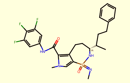 CN=S1(=O)N[C@@H](C(C)CCc2ccccc2)CCc2c1cn(C)c2C(=O)Nc1cc(F)c(F)c(F)c1